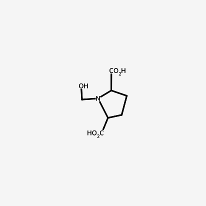 O=C(O)C1CCC(C(=O)O)N1CO